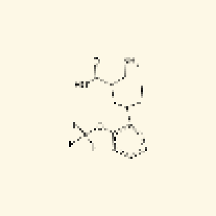 CCC(CC(CN)C(=O)O)c1ccccc1OC(F)(F)F